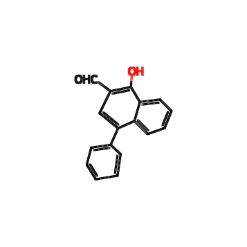 O=Cc1cc(-c2ccccc2)c2ccccc2c1O